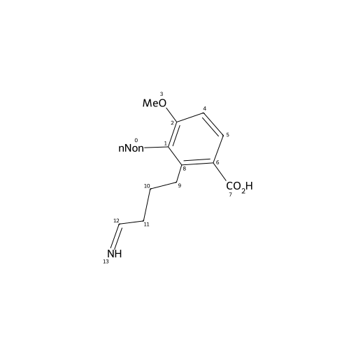 CCCCCCCCCc1c(OC)ccc(C(=O)O)c1CCCC=N